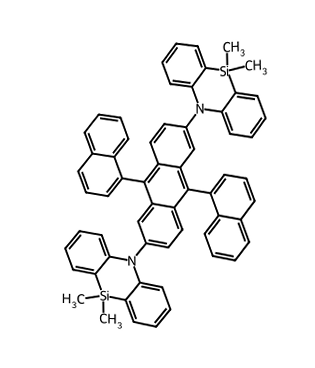 C[Si]1(C)c2ccccc2N(c2ccc3c(-c4cccc5ccccc45)c4cc(N5c6ccccc6[Si](C)(C)c6ccccc65)ccc4c(-c4cccc5ccccc45)c3c2)c2ccccc21